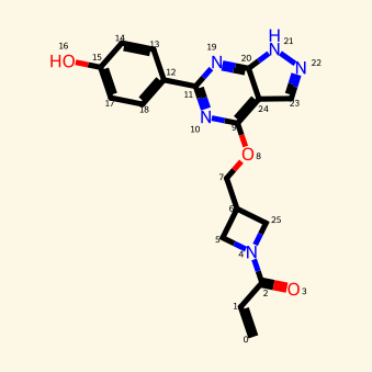 C=CC(=O)N1CC(COc2nc(-c3ccc(O)cc3)nc3[nH]ncc23)C1